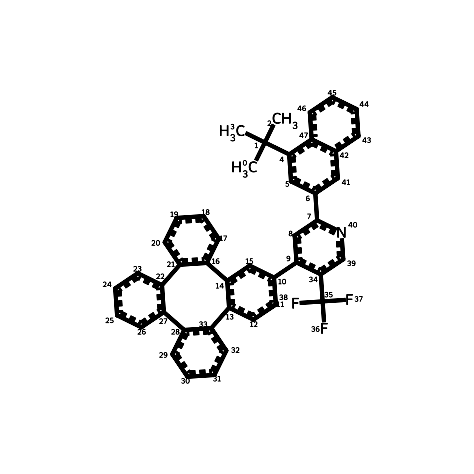 CC(C)(C)c1cc(-c2cc(-c3ccc4c(c3)-c3ccccc3-c3ccccc3-c3ccccc3-4)c(C(F)(F)F)cn2)cc2ccccc12